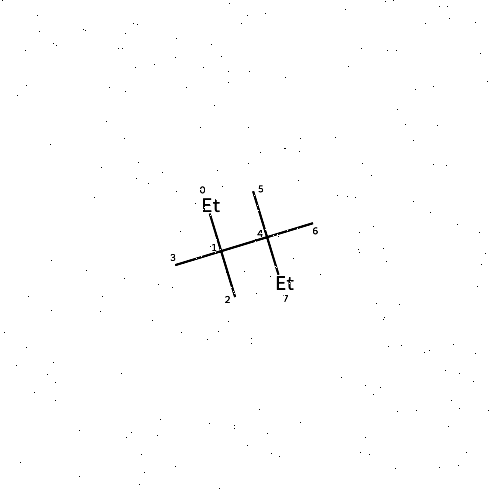 CCC(C)(C)C(C)(C)CC